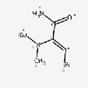 CCC(C)N(C)/C(=C\C(C)C)C(N)=O